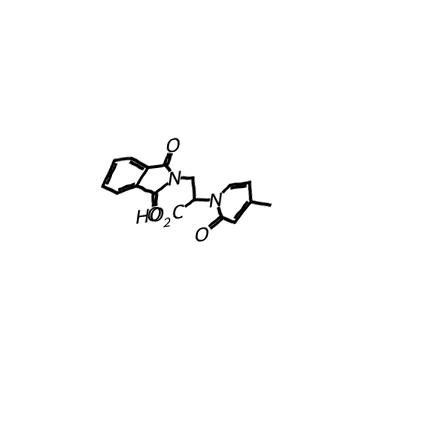 Cc1ccn(C(CN2C(=O)c3ccccc3C2=O)C(=O)O)c(=O)c1